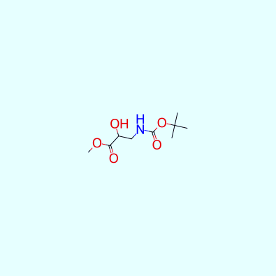 COC(=O)C(O)CNC(=O)OC(C)(C)C